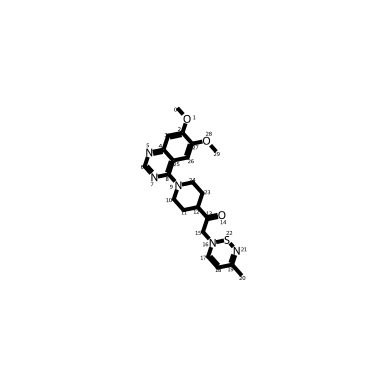 COc1cc2ncnc(N3CCC(C(=O)CN4C=CC(C)=NS4)CC3)c2cc1OC